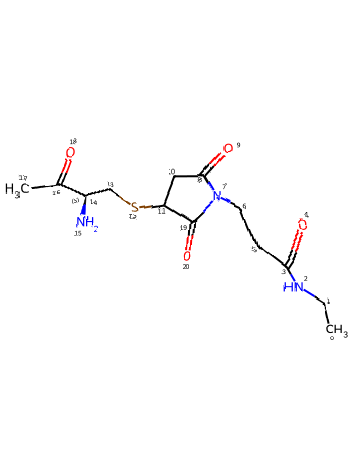 CCNC(=O)CCN1C(=O)CC(SC[C@@H](N)C(C)=O)C1=O